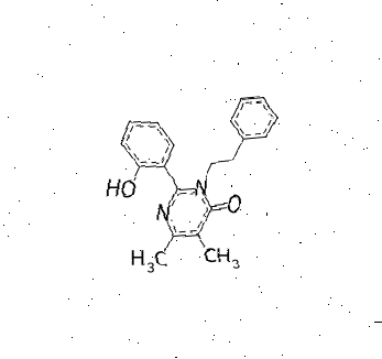 Cc1nc(-c2ccccc2O)n(CCc2ccccc2)c(=O)c1C